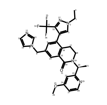 CCn1cc(-c2cc(Cn3ccnc3)cc3c2CCN([C@@H](C)c2cc(OC)ccn2)C3=O)c(C(F)(F)F)n1